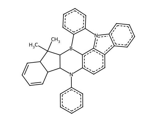 CC1(C)C2C=CC=CC2C2C1B1c3ccccc3-n3c4ccccc4c4ccc(c1c43)N2c1ccccc1